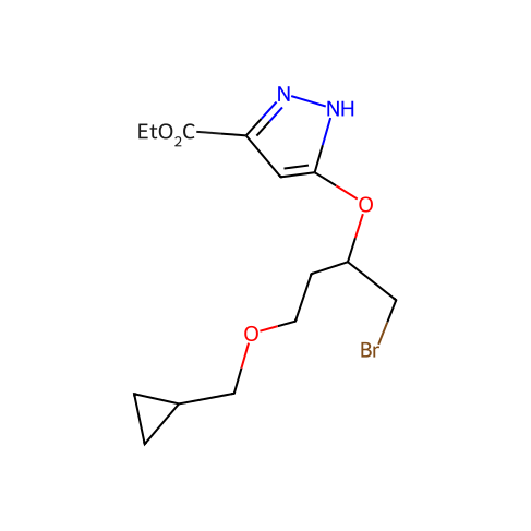 CCOC(=O)c1cc(OC(CBr)CCOCC2CC2)[nH]n1